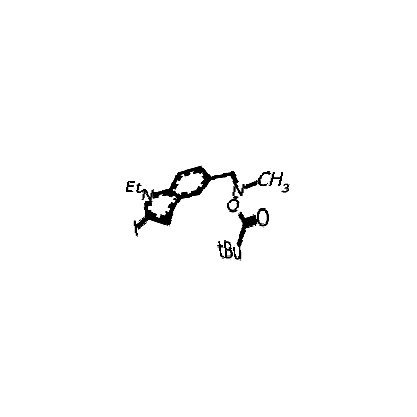 CCn1c(I)cc2cc(CN(C)OC(=O)C(C)(C)C)ccc21